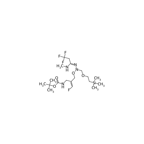 CN/C(CC(F)(F)F)=N\N(COCC[Si](C)(C)C)OC/C(=C/F)CNC(=O)OC(C)(C)C